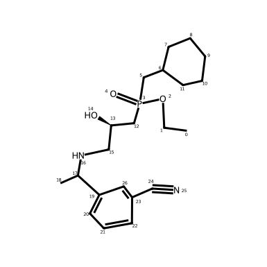 CCOP(=O)(CC1CCCCC1)C[C@H](O)CNC(C)c1cccc(C#N)c1